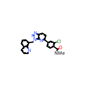 CNC(=O)c1ccc(-c2ccc3nnn(Cc4cccc5cccnc45)c3n2)cc1Cl